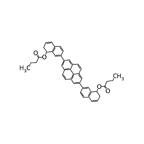 CCCC(=O)OC1CC=Cc2ccc(-c3cc4ccc5cc(-c6ccc7c(c6)C(OC(=O)CCC)CC=C7)cc6ccc(c3)c4c56)cc21